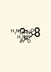 CC(C)[C@@H](N)C(=O)NCC(C(=O)NCc1ccc(N)nc1)c1cccc2ccccc12